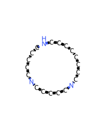 c1cccc[nH]cccccncccccnccc1